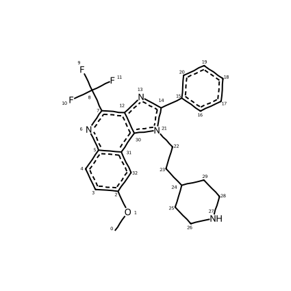 COc1ccc2nc(C(F)(F)F)c3nc(-c4ccccc4)n(CCC4CCNCC4)c3c2c1